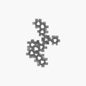 c1ccc(-c2nc(-c3ccc4c(ccc5ccccc54)c3)nc(-c3ccc(-n4c5ccccc5c5cc6ccccc6cc54)c4c3sc3ccccc34)n2)cc1